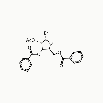 CC(=O)O[C@H]1[C@@H](OC(=O)c2ccccc2)[C@H](COC(=O)c2ccccc2)O[C@H]1Br